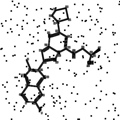 Cc1nc2ccc(F)cc2nc1-c1cc2nc(N3CCCC3)cc(NC[C@@H](C)O)n2n1